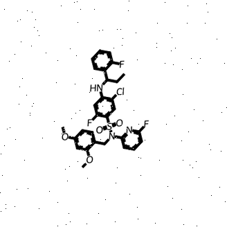 CCC(Nc1cc(F)c(S(=O)(=O)N(Cc2ccc(OC)cc2OC)c2cccc(F)n2)cc1Cl)c1ccccc1F